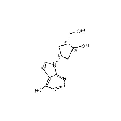 OC[C@H]1C[C@@H](n2cnc3c(O)ncnc32)C[C@@H]1O